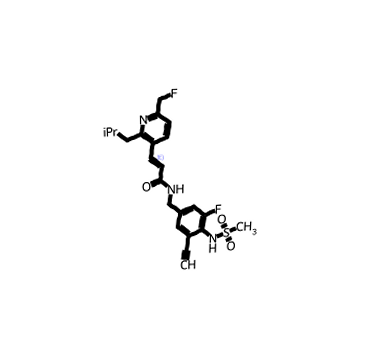 C#Cc1cc(CNC(=O)/C=C/c2ccc(CF)nc2CC(C)C)cc(F)c1NS(C)(=O)=O